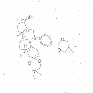 CCC[C@@H]1CC[C@H]2[C@@H]3CC[C@H]4CC5(CCC4=C3[C@@H](c3ccc(C4OCC(C)(C)CO4)cc3)C[C@]12C)OCC(C)(C)CO5